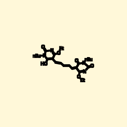 CCCCN1C(=O)N=C(OCC)/C(=C/C=CC=Cc2c(OCC)nc(=O)n(CCCC)c2O)C1=O